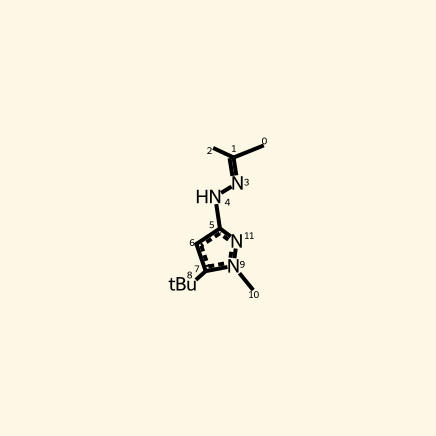 CC(C)=NNc1cc(C(C)(C)C)n(C)n1